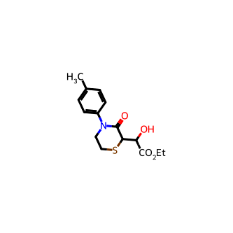 CCOC(=O)C(O)C1SCCN(c2ccc(C)cc2)C1=O